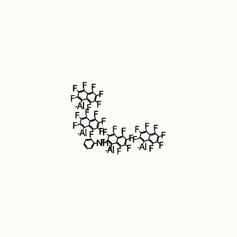 Nc1ccccc1.[CH3][Al]([CH3])[c]1c(F)c(F)c(F)c2c(F)c(F)c(F)c(F)c12.[CH3][Al]([CH3])[c]1c(F)c(F)c(F)c2c(F)c(F)c(F)c(F)c12.[CH3][Al]([CH3])[c]1c(F)c(F)c(F)c2c(F)c(F)c(F)c(F)c12.[CH3][Al]([CH3])[c]1c(F)c(F)c(F)c2c(F)c(F)c(F)c(F)c12